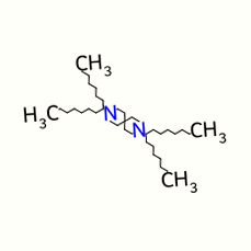 CCCCCCCC(CCCCCCC)N1CCC2(CC1)CCN(C(CCCCCCC)CCCCCCC)CC2